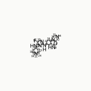 CNC(=O)c1cc(Nc2ncc(F)c(NC3CC(C)(C)N(C)C(C)(C)C3)n2)ccc1N1CCN(C)CC1